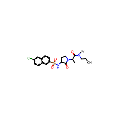 CC(C)N(CCC#N)C(=O)C(C)N1CCC(NS(=O)(=O)c2ccc3cc(Cl)ccc3c2)C1=O